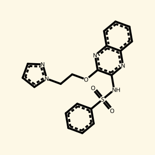 O=S(=O)(Nc1nc2ccccc2nc1OCCn1cccn1)c1ccccc1